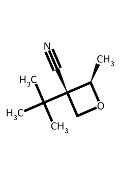 C[C@H]1OC[C@]1(C#N)C(C)(C)C